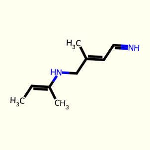 C/C=C(\C)NC/C(C)=C/C=N